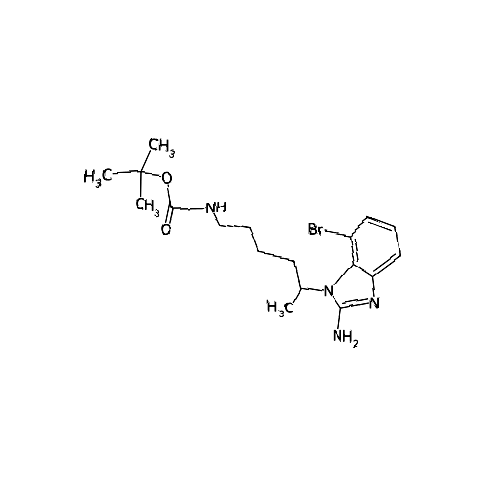 CC(CCCCNC(=O)OC(C)(C)C)n1c(N)nc2cccc(Br)c21